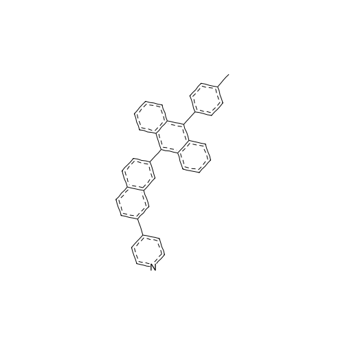 Cc1ccc(-c2c3ccccc3c(-c3ccc4ccc(-c5ccncc5)cc4c3)c3ccccc23)cc1